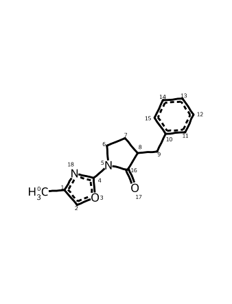 Cc1coc(N2CCC(Cc3ccccc3)C2=O)n1